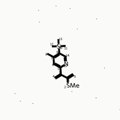 C=C(SC)C(=C)c1cc(C)c([Si](C)(C)C)cn1